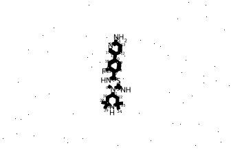 CN(C(=N)SC(=N)c1ccc(-c2ccc(N)nc2)cc1F)C1CC(C)(C)NC(C)(C)C1